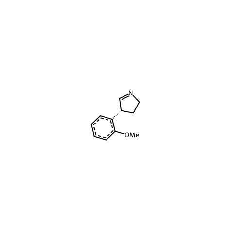 COc1ccccc1[C@@H]1C=NCC1